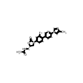 CC(=O)NC[C@H]1CN(c2ccc(-c3ccc(-n4cnc(C)c4)nc3)c(F)c2)C(=O)O1